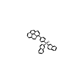 O=P(c1ccc(-c2ccc3ccc4cccc5ccc2c3c45)cc1)(c1ccc2ccccc2c1)c1ccc2ccccc2c1